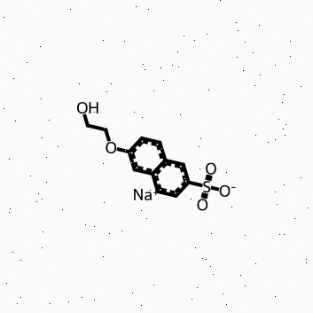 O=S(=O)([O-])c1ccc2cc(OCCO)ccc2c1.[Na+]